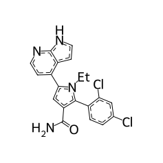 CCn1c(-c2ccnc3[nH]ccc23)cc(C(N)=O)c1-c1ccc(Cl)cc1Cl